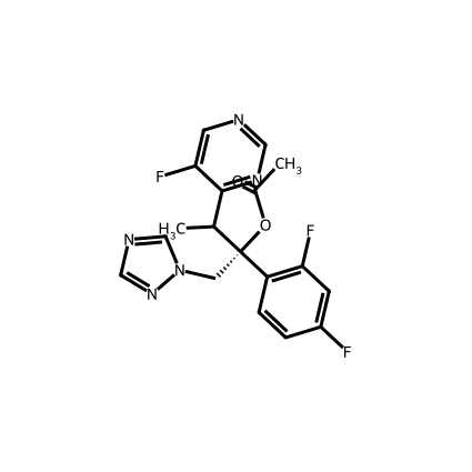 CC(=O)O[C@@](Cn1cncn1)(c1ccc(F)cc1F)C(C)c1ncncc1F